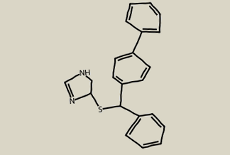 C1=NC(SC(c2ccccc2)c2ccc(-c3ccccc3)cc2)CN1